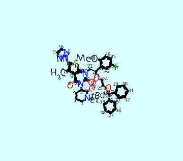 CCN1CCCC(n2c(=O)c3c(C)c(-n4nccn4)sc3n(C[C@H](OCCO[Si](c3ccccc3)(c3ccccc3)C(C)(C)C)c3cc(F)ccc3OC)c2=O)C1=O